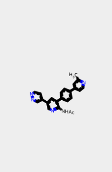 CC(=O)Nc1ncc(-c2ccnnc2)cc1-c1ccc(-c2ccnc(C)c2)cc1